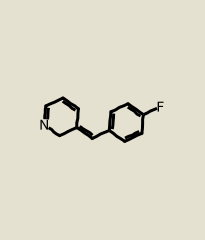 Fc1ccc(C=C2C=CC=NC2)cc1